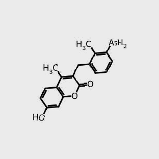 Cc1c([AsH2])cccc1Cc1c(C)c2ccc(O)cc2oc1=O